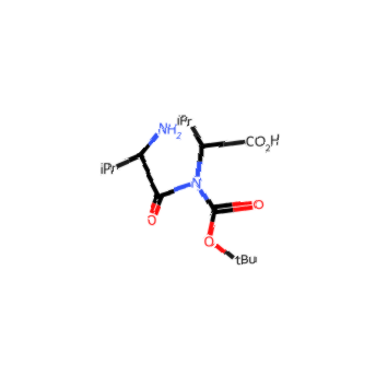 CC(C)C(N)C(=O)N(C(=O)OC(C)(C)C)C(C(=O)O)C(C)C